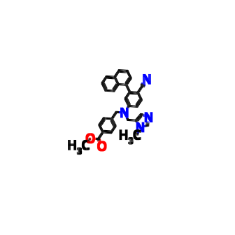 COC(=O)c1ccc(CN(Cc2cncn2C)c2ccc(C#N)c(-c3cccc4ccccc34)c2)cc1